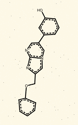 Oc1cccc(-c2cnc3nc(COc4ccccc4)cn3c2)c1